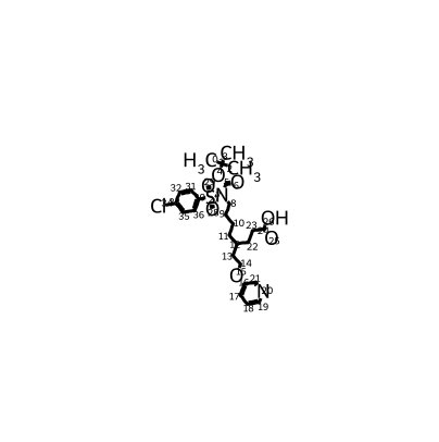 CC(C)(C)OC(=O)N(CCCCC(CCOc1cccnc1)CCC(=O)O)S(=O)(=O)c1ccc(Cl)cc1